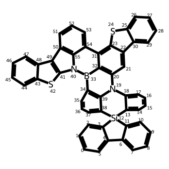 c1ccc2c(c1)-c1ccccc1[Si]21c2ccccc2N2c3cc4c(sc5ccccc54)c4c3B(c3cccc1c32)n1c2sc3ccccc3c2c2cccc-4c21